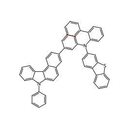 c1ccc(-c2ccccc2N(c2cccc(-c3ccc4c(ccc5c4c4ccccc4n5-c4ccccc4)c3)c2)c2ccc3c(c2)sc2ccccc23)cc1